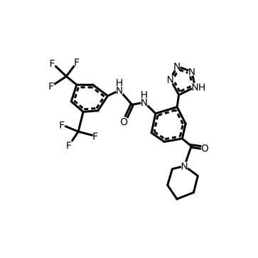 O=C(Nc1cc(C(F)(F)F)cc(C(F)(F)F)c1)Nc1ccc(C(=O)N2CCCCC2)cc1-c1nnn[nH]1